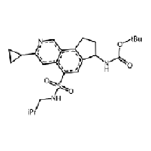 CC(C)CNS(=O)(=O)c1cc2c(c3cnc(C4CC4)cc13)CCC2NC(=O)OC(C)(C)C